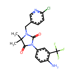 CC1(C)C(=O)N(c2ccc(N)c(C(F)(F)F)c2)C(=O)N1Cc1ccc(Cl)nc1